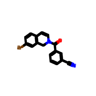 N#Cc1cccc(C(=O)N2C=Cc3ccc(Br)cc3C2)c1